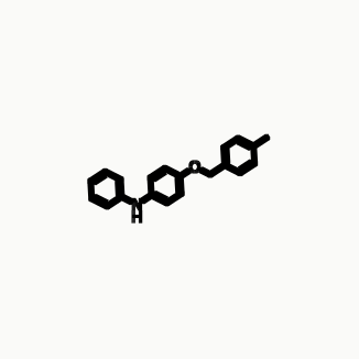 Cc1ccc(COc2ccc(Nc3ccccc3)cc2)cc1